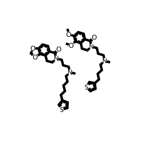 CN(CCCCCc1ccsc1)CCCN1CCc2c(ccc3c2OCO3)C1=O.COc1ccc2c(c1OC)CCN(CCCN(C)CCCCc1ccsc1)C2=O